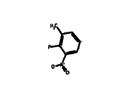 Cc1c[c]cc([N+](=O)[O-])c1F